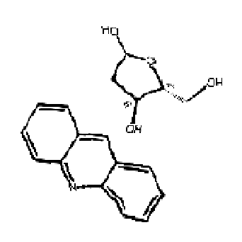 OC[C@H]1OC(O)C[C@@H]1O.c1ccc2nc3ccccc3cc2c1